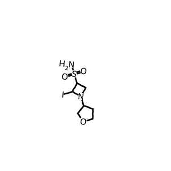 NS(=O)(=O)C1CN(C2CCOC2)C1I